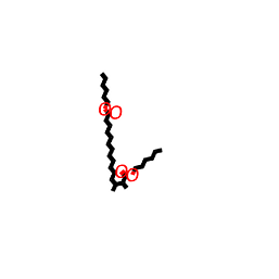 CCCCCCOC(=O)CCCCCCCCCCCC(C)C(C)C(=O)OCCCCCC